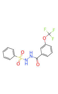 O=C(NNS(=O)(=O)c1ccccc1)c1cccc(OC(F)(F)F)c1